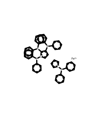 [Fe+2].c1ccc(P(c2ccccc2)[c-]2cccc2)cc1.c1ccc(P(c2ccccc2)c2cc[c-](P(c3ccccc3)c3ccccc3)c2P(c2ccccc2)c2ccccc2)cc1